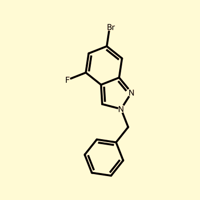 Fc1cc(Br)cc2nn(Cc3ccccc3)cc12